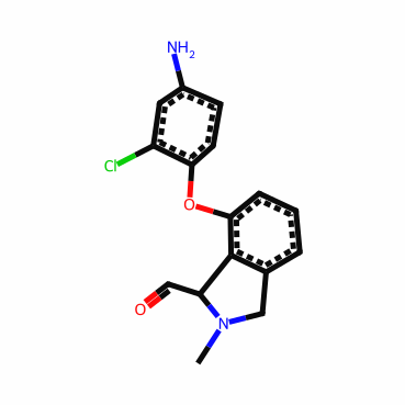 CN1Cc2cccc(Oc3ccc(N)cc3Cl)c2C1C=O